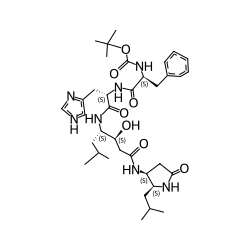 CC(C)C[C@@H]1NC(=O)C[C@@H]1NC(=O)C[C@H](O)[C@H](CC(C)C)NC(=O)[C@H](Cc1c[nH]cn1)NC(=O)[C@H](Cc1ccccc1)NC(=O)OC(C)(C)C